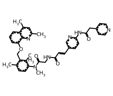 Cc1cc(C)c2cccc(OCc3c(C)ccc(N(C)C(=O)CNC(=O)C=Cc4ccc(NC(=O)Cc5ccncc5)nc4)c3C)c2n1